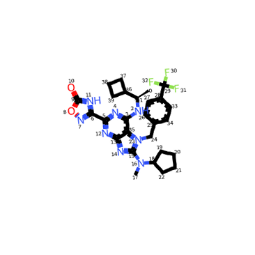 C[C@@H](Nc1nc(-c2noc(=O)[nH]2)nc2nc(N(C)C3CCCC3)n(Cc3ccc(C(F)(F)F)cc3)c12)C1CCC1